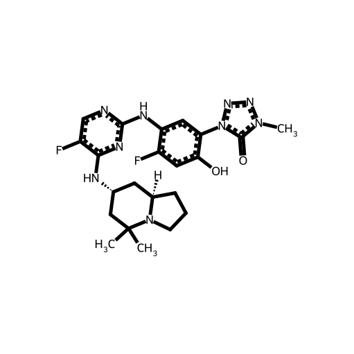 Cn1nnn(-c2cc(Nc3ncc(F)c(N[C@@H]4C[C@H]5CCCN5C(C)(C)C4)n3)c(F)cc2O)c1=O